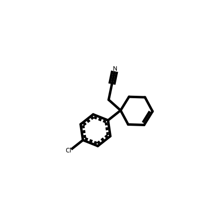 N#CCC1(c2ccc(Cl)cc2)CC=CCC1